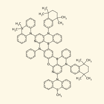 C[S+]1c2ccccc2N(c2cc3c4c(n2)Oc2cc5c(cc2B4c2ccccc2N3c2ccc3c(c2)C(C)(C)CCC3(C)C)B2c3ccccc3N(c3ccc4c(c3)C(C)(C)CCC4(C)C)c3cc(N4c6ccccc6[Si](C)(C)c6ccccc64)nc(c32)N5c2ccccc2)c2ccccc21